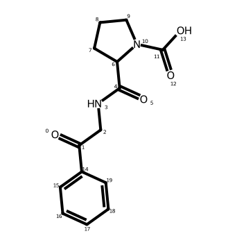 O=C(CNC(=O)C1CCCN1C(=O)O)c1ccccc1